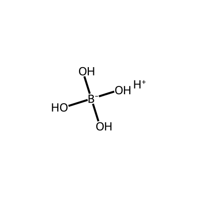 O[B-](O)(O)O.[H+]